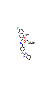 COCC(=O)O[C@]1(CCN(C)Cc2ccc(C(C)c3nc4ccccc4n3C)cc2)CCc2cc(F)ccc2[C@@H]1C(C)C